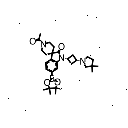 CC(=O)N1CCC2(CC1)C(=O)N([C@H]1C[C@@H](N3CCC(C)(C)C3)C1)c1cc(B3OC(C)(C)C(C)(C)O3)ccc12